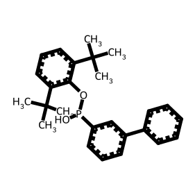 CC(C)(C)c1cccc(C(C)(C)C)c1OP(O)c1cccc(-c2ccccc2)c1